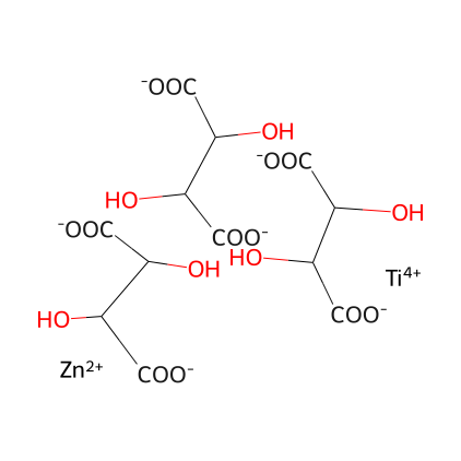 O=C([O-])C(O)C(O)C(=O)[O-].O=C([O-])C(O)C(O)C(=O)[O-].O=C([O-])C(O)C(O)C(=O)[O-].[Ti+4].[Zn+2]